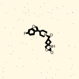 O=C1NC2(CO1)CC(C(=O)N1CCC(c3coc4cc(F)ccc34)CC1)C2